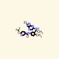 CCn1cc2ncc(N[C@@H](C)c3cc(NC(=O)c4ccc(OC(F)F)nc4)ccc3C)nc2n1